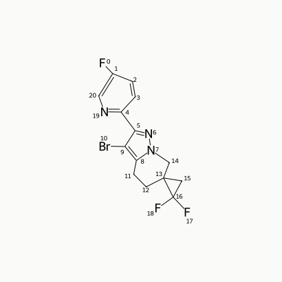 Fc1ccc(-c2nn3c(c2Br)CCC2(C3)CC2(F)F)nc1